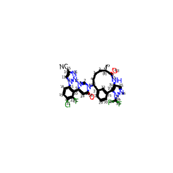 C[C@@H]1CCC[C@H](n2cnc(-c3c(-n4cc(C#N)nn4)ccc(Cl)c3F)cc2=O)c2cccc(c2)-c2c(cnn2C(F)F)NC1=O